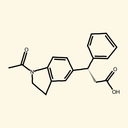 CC(=O)N1CCc2cc([C@@H](CC(=O)O)c3ccccc3)ccc21